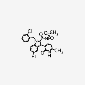 CCc1ccc2c(c1)c(-c1ccc(C)[nH]c1=O)c(C(=O)NS(C)(=O)=O)n2Cc1ccccc1Cl